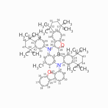 Cc1cc2c3c(c1)N(c1cccc4c1oc1ccccc14)c1cc4c(cc1B3c1oc3cc5c(cc3c1N2c1ccc2c(c1)C(C)(C)CCC2(C)C)C(C)(C)CCC5(C)C)C(C)(C)CCC4(C)C